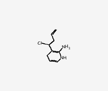 C=CCC(Cl)C1=C(N)NC=CC1